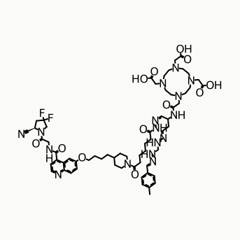 Cc1ccc(/C=N/NCN/N=C/CC(/C=N\NC(=O)CCCCCC(=O)N2CCC(CCCCOc3ccc4nccc(C(=O)NCC(=O)N5CC(F)(F)C[C@@H]5C#N)c4c3)CC2)NC(=O)CN2CCN(CC(=O)O)CCN(CC(=O)O)CCN(CC(=O)O)CC2)cc1